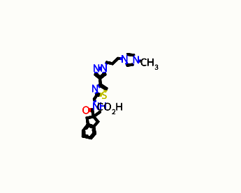 CN1CCN(CCCn2cc(-c3csc(CNC(=O)C4(CC(=O)O)Cc5ccccc5C4)n3)cn2)CC1